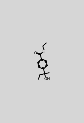 CCOC(=O)c1ccc(C(C)(O)CC)cc1